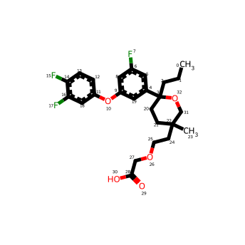 CCCC1(c2cc(F)cc(Oc3ccc(F)c(F)c3)c2)CCC(C)(CCOCC(=O)O)CO1